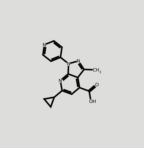 Cc1nn(-c2ccncc2)c2nc(C3CC3)cc(C(=O)O)c12